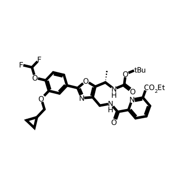 CCOC(=O)c1cccc(C(=O)NCc2nc(-c3ccc(OC(F)F)c(OCC4CC4)c3)oc2[C@H](C)NC(=O)OC(C)(C)C)n1